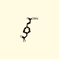 CCC(=O)Cc1ccc(C=CC(=O)OC)cc1